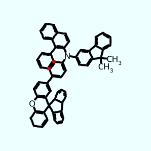 CC1(C)c2ccccc2-c2cc(N(c3ccc(-c4ccc5c(c4)C4(C6=C(CCC=C6)O5)c5ccccc5C5C=CC=CC54)cc3)c3ccc4ccccc4c3-c3ccccc3)ccc21